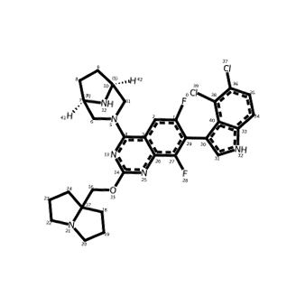 Fc1cc2c(N3C[C@H]4CC[C@@H](C3)N4)nc(OCC34CCCN3CCC4)nc2c(F)c1-c1c[nH]c2ccc(Cl)c(Cl)c12